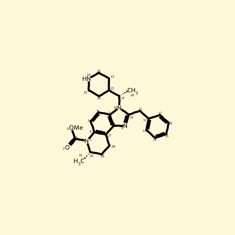 COC(=O)N1c2ccc3c(nc(Cc4ccccc4)n3[C@@H](C)C3CCNCC3)c2CC[C@@H]1C